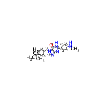 CNc1ccc(-c2nc3ncn(Cc4ccc(C(C)(C)C)cc4)c3c(=O)[nH]2)cc1